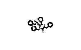 O=C(NCc1cccnc1)C(Cc1ccccc1)OC(=O)C1CCCCN1S(=O)(=O)Cc1ccccc1